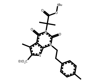 CCOC(=O)c1sc2c(c1C)c(=O)n(C(C)(C)C(=O)OC(C)(C)C)c(=O)n2CCc1ccc(C)cc1